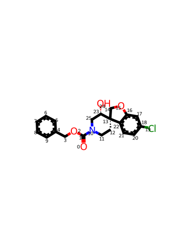 O=C(OCc1ccccc1)N1CC[C@@]2(COc3cc(Cl)ccc32)[C@@H](O)C1